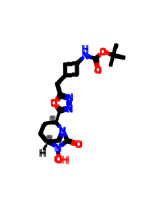 CC(C)(C)OC(=O)NC1CC(Cc2nnc([C@@H]3CC[C@H]4CN3C(=O)N4O)o2)C1